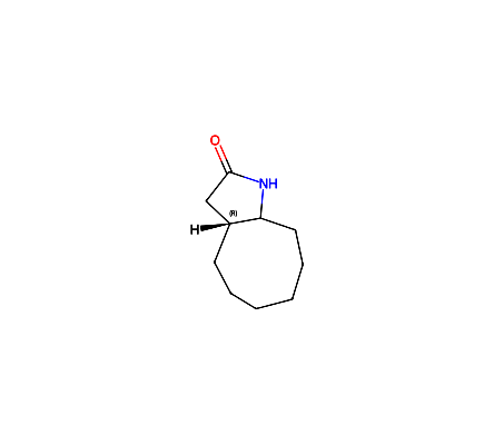 O=C1C[C@H]2CCCCCCC2N1